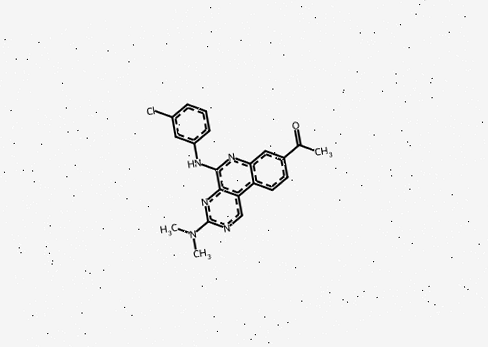 CC(=O)c1ccc2c(c1)nc(Nc1cccc(Cl)c1)c1nc(N(C)C)ncc12